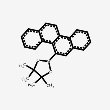 CC1(C)OB(c2cc3ccccc3c3ccc4ccccc4c23)OC1(C)C